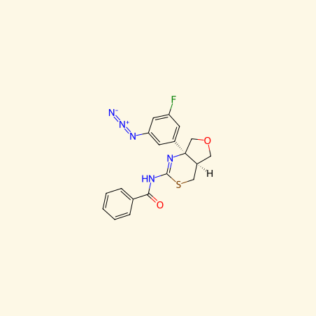 [N-]=[N+]=Nc1cc(F)cc([C@]23COC[C@H]2CSC(NC(=O)c2ccccc2)=N3)c1